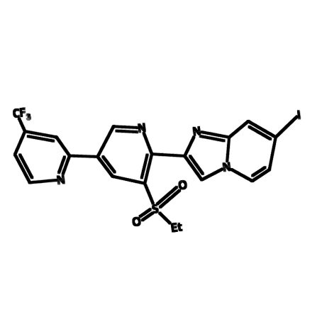 CCS(=O)(=O)c1cc(-c2cc(C(F)(F)F)ccn2)cnc1-c1cn2ccc(I)cc2n1